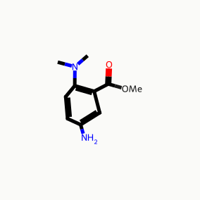 COC(=O)c1cc(N)ccc1N(C)C